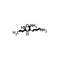 C=CCC(=N)N[C@@H](CCCCN)C(N)=O